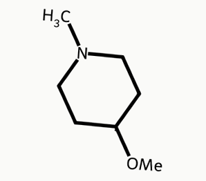 CO[C]1CCN(C)CC1